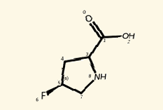 O=C(O)C1C[C@H](F)CN1